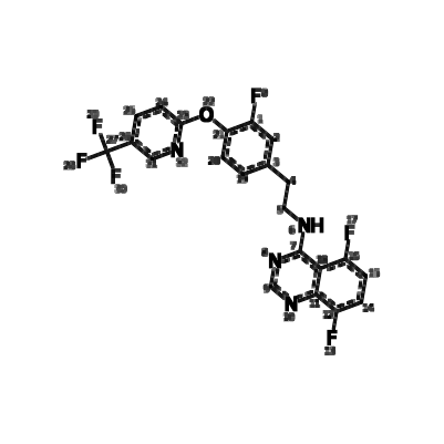 Fc1cc(CCNc2ncnc3c(F)ccc(F)c23)ccc1Oc1ccc(C(F)(F)F)cn1